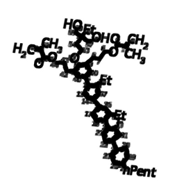 C=C(C)C(=O)OCCCc1cc(-c2ccc(-c3ccc(-c4ccc(-c5ccc(CCCCC)cc5)cc4F)c(CC)c3)cc2CC)cc(CCCOC(=O)C(=C)C)c1OCCC(CC)(CO)CO